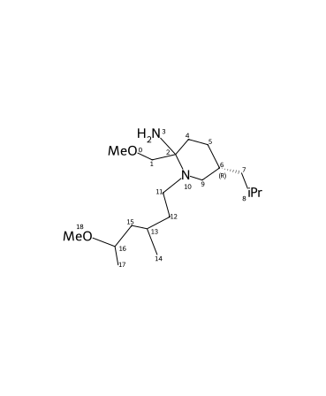 COCC1(N)CC[C@H](CC(C)C)CN1CCC(C)CC(C)OC